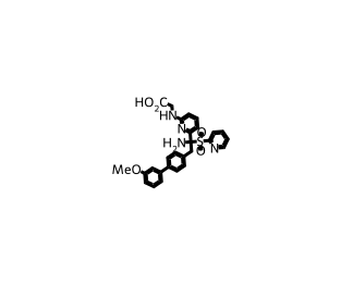 COc1cccc(-c2ccc(CC(N)(c3cccc(NCC(=O)O)n3)S(=O)(=O)c3ccccn3)cc2)c1